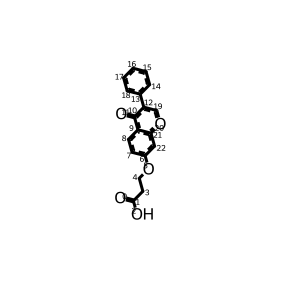 O=C(O)CCOc1ccc2c(=O)c(-c3ccccc3)coc2c1